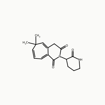 CC1(C)C=CC=C2C(=O)N(C3CCCNC3=O)C(=O)CC2=C1